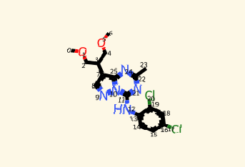 COCC(COC)c1cnn2c(Nc3ccc(Cl)cc3Cl)nc(C)nc12